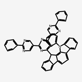 c1ccc(-c2ncc(-c3nc(-c4cnc(-c5ccccc5)nc4)nc(C4c5ccccc5-c5ccc6c7ccccc7n(-c7ccccc7)c6c54)n3)cn2)cc1